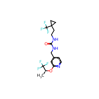 C[C@H](Oc1cc(CNC(=O)NCCC2(C(F)(F)F)CC2)ccn1)C(F)(F)F